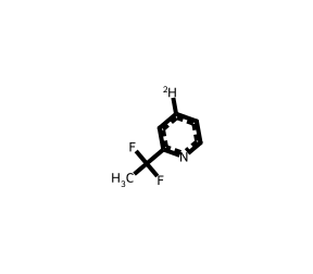 [2H]c1ccnc(C(C)(F)F)c1